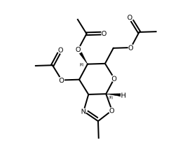 CC(=O)OCC1O[C@@H]2OC(C)=NC2C(OC(C)=O)[C@H]1OC(C)=O